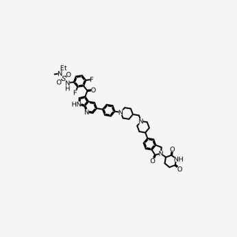 CCN(C)S(=O)(=O)Nc1ccc(F)c(C(=O)c2c[nH]c3ncc(-c4ccc(N5CCC(CN6CCC(c7ccc8c(c7)CN(C7CCC(=O)NC7=O)C8=O)CC6)CC5)cc4)cc23)c1F